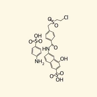 Nc1ccc(S(=O)(=O)O)cc1.O=C(Nc1ccc2cc(S(=O)(=O)O)cc(O)c2c1)c1ccc(CS(=O)(=O)CCCl)cc1